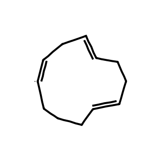 [C]1=C\C/C=C/CC/C=C/CCC/1